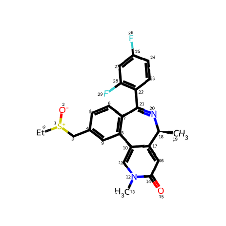 CC[S+]([O-])Cc1ccc2c(c1)-c1cn(C)c(=O)cc1[C@H](C)N=C2c1ccc(F)cc1F